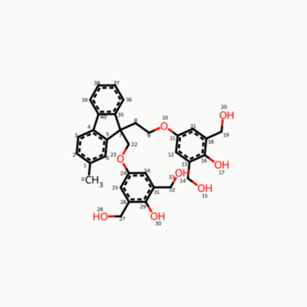 Cc1ccc2c(c1)C(CCOc1cc(CO)c(O)c(CO)c1)(COc1cc(CO)c(O)c(CO)c1)c1ccccc1-2